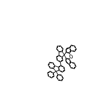 c1ccc(C2(c3ccccc3)c3ccccc3-c3c(-c4ccc5c(c4)C4(c6ccccc6-5)c5ccc6ccccc6c5Oc5c4ccc4ccccc54)cccc32)cc1